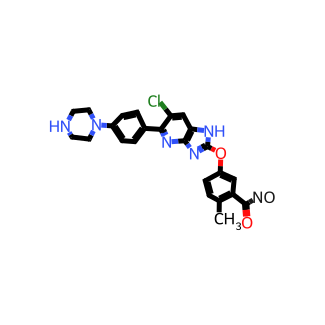 Cc1ccc(Oc2nc3nc(-c4ccc(N5CCNCC5)cc4)c(Cl)cc3[nH]2)cc1C(=O)N=O